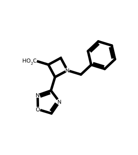 O=C(O)C1CN(Cc2ccccc2)C1c1ncon1